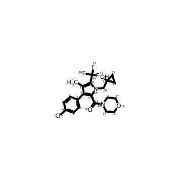 Cc1c(-c2ccc(Cl)cc2)c(C(=O)N2CCOCC2)n(CC2(O)CC2)c1C(F)(F)F